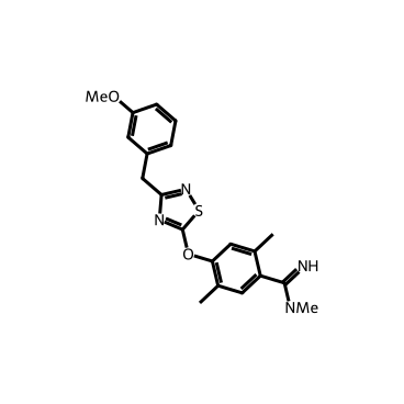 CNC(=N)c1cc(C)c(Oc2nc(Cc3cccc(OC)c3)ns2)cc1C